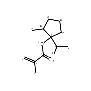 C=C(C)C(=O)OC1(C(C)C)CCCC1C